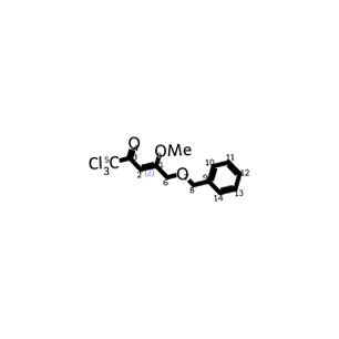 CO/C(=C\C(=O)C(Cl)(Cl)Cl)COCc1ccccc1